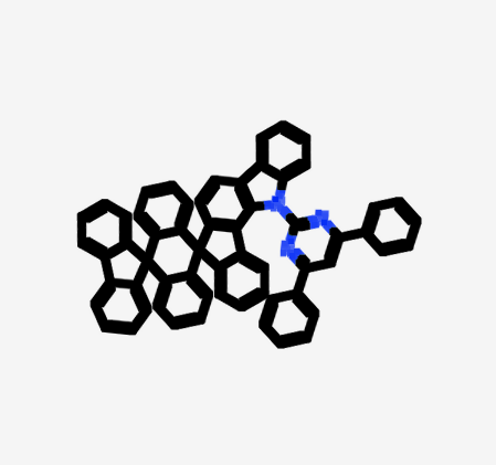 c1ccc(-c2cc(-c3ccccc3)nc(-n3c4ccccc4c4ccc5c(c43)-c3ccccc3C53c4ccccc4C4(c5ccccc5-c5ccccc54)c4ccccc43)n2)cc1